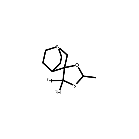 [3H]C1([3H])SC(C)OC12CN1CCC2CC1